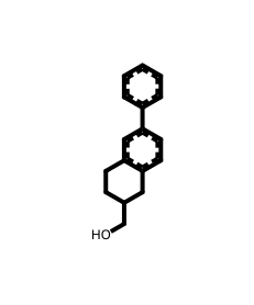 OCC1CCc2cc(-c3ccccc3)ccc2C1